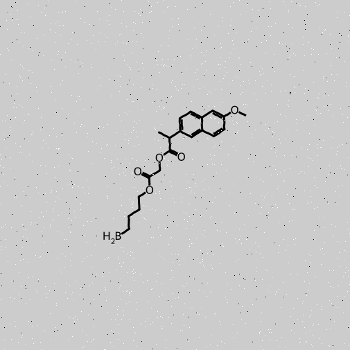 BCCCCOC(=O)COC(=O)C(C)c1ccc2cc(OC)ccc2c1